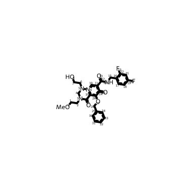 COCCN1CN(CCO)n2cc(C(=O)NCc3ccc(F)cc3F)c(=O)c(OCc3ccccc3)c2C1=O